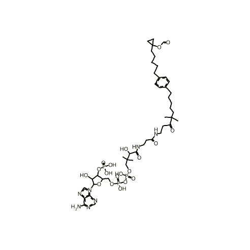 CC(C)(CCCCCc1ccc(CCCCCC2(OC=O)CC2)cc1)C(=O)CCNC(=O)CCNC(=O)C(O)C(C)(C)COP(=O)(O)OP(=O)(O)OCC1OC(n2cnc3c(N)ncnc32)C(O)C1OP(=O)(O)O